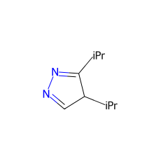 CC(C)C1=NN=CC1C(C)C